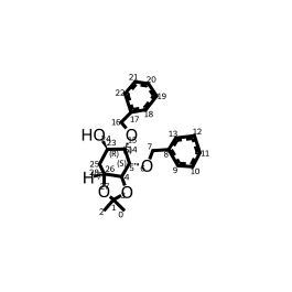 CC1(C)OC2[C@@H](OCc3ccccc3)[C@@H](OCc3ccccc3)[C@H](O)C[C@H]2O1